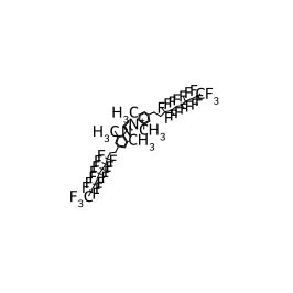 Cc1cc(CCC(F)(F)C(F)(F)C(F)(F)C(F)(F)C(F)(F)C(F)(F)C(F)(F)C(F)(F)F)cc(C)c1-n1cc[n+](-c2c(C)cc(CCC(F)(F)C(F)(F)C(F)(F)C(F)(F)C(F)(F)C(F)(F)C(F)(F)C(F)(F)F)cc2C)c1